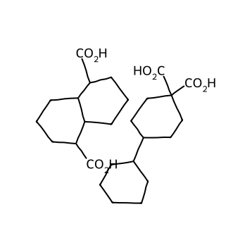 O=C(O)C1(C(=O)O)CCC(C2CCCCC2)CC1.O=C(O)C1CCCC2C(C(=O)O)CCCC12